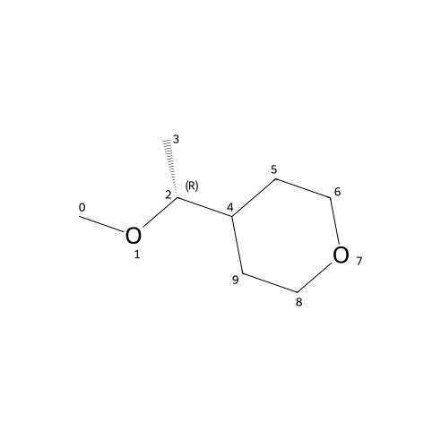 CO[C@H](C)C1CCOCC1